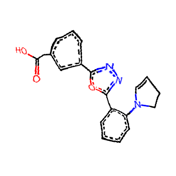 O=C(O)c1cccc(-c2nnc(-c3ccccc3N3C=CCC3)o2)c1